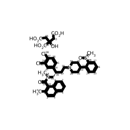 Cc1ccc2ccccc2c1C(=O)N(C)C[C@@H](CCN1CCC(c2ccccc2[S@+](C)[O-])CC1)c1ccc(Cl)c(Cl)c1.O=C(O)CC(O)(CC(=O)O)C(=O)O